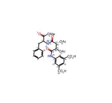 COC(=O)C(Cc1ccccc1)NC(=O)[C@H](OC(C)=O)[C@@H](OC(C)=O)C(=O)Nc1cc(C(=O)O)cc(C(=O)O)c1